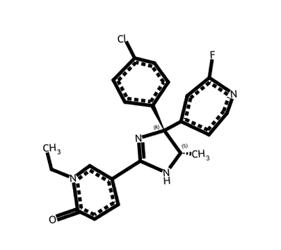 CCn1cc(C2=N[C@](c3ccc(Cl)cc3)(c3ccnc(F)c3)[C@H](C)N2)ccc1=O